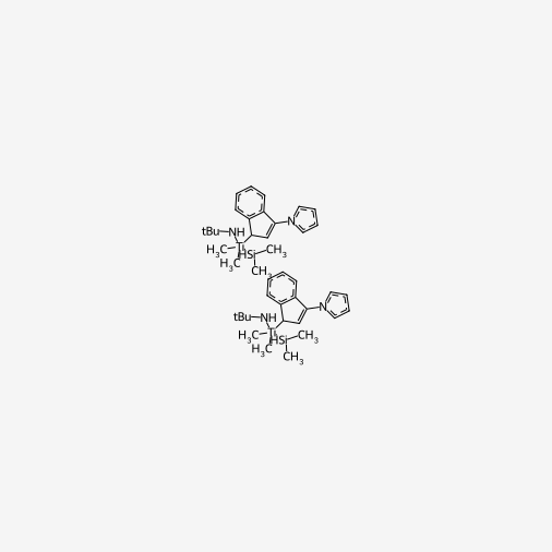 C[SiH](C)[Ti]([CH3])([CH3])([NH]C(C)(C)C)[CH]1C=C(n2cccc2)c2ccccc21.C[SiH](C)[Ti]([CH3])([CH3])([NH]C(C)(C)C)[CH]1C=C(n2cccc2)c2ccccc21